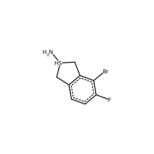 N[SH]1Cc2ccc(F)c(Br)c2C1